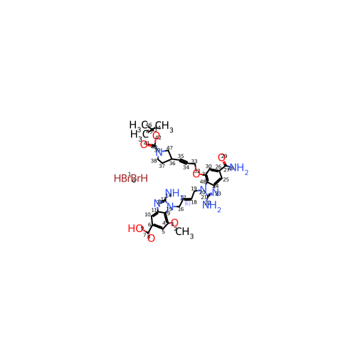 Br.Br.COc1cc(C(=O)O)cc2nc(N)n(C/C=C/Cn3c(N)nc4cc(C(N)=O)cc(OCC#CC5CCN(C(=O)OC(C)(C)C)C5)c43)c12